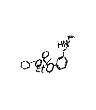 C=CCNCCc1cccc(OC(C)(CC)C(=O)OCc2ccccc2)c1